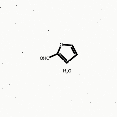 O.O=Cc1ccco1